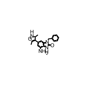 CC1=C(c2cc(N)c3[nH]c(=O)n(Cc4ccccc4)c3c2)C(C)NO1